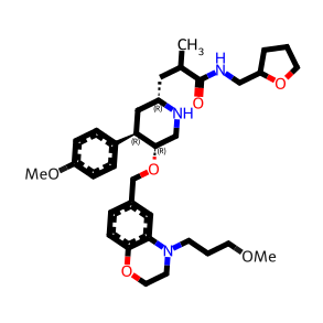 COCCCN1CCOc2ccc(CO[C@H]3CN[C@@H](CC(C)C(=O)NCC4CCCO4)C[C@@H]3c3ccc(OC)cc3)cc21